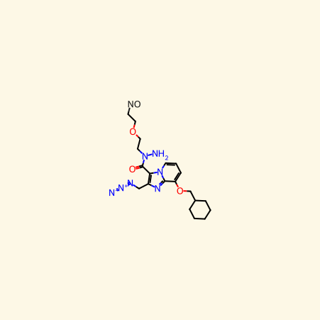 [N-]=[N+]=NCc1nc2c(OCC3CCCCC3)cccn2c1C(=O)N(N)CCOCCN=O